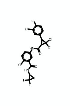 O=C(NC1CC1(F)F)c1cc(NC(=O)C2C(c3ccc(Cl)c(Cl)c3)C2(Cl)Cl)ccc1Cl